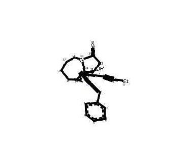 CCC#CC1(O)/C(=C/c2ccccc2)CC2CCCCN3C(=O)CCC231